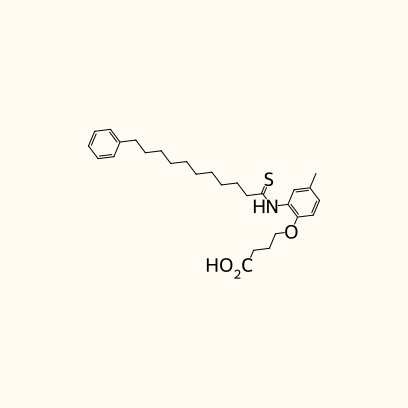 Cc1ccc(OCCCC(=O)O)c(NC(=S)CCCCCCCCCCc2ccccc2)c1